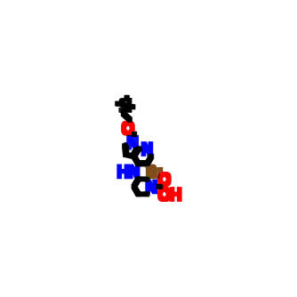 C[Si](C)(C)CCOCn1ccc2c(NC3CCCN(C(=O)O)C3)c(Br)cnc21